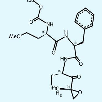 COCC[C@H](NC(=O)OC(C)(C)C)C(=O)N[C@@H](Cc1ccccc1)C(=O)N[C@@H](CC(C)C)C(=O)[C@@]1(C)CO1